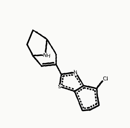 Clc1cccc2sc(C3=CC4CCC(C3)N4)nc12